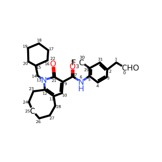 O=CCc1ccc(NC(=O)c2cc3c(n(CC4CCCCC4)c2=O)CCCCCC3)c(C(F)(F)F)c1